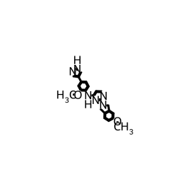 COc1ccc2c(c1)CN(c1nccc(Nc3ccc(-c4cn[nH]c4)cc3OC)n1)C2